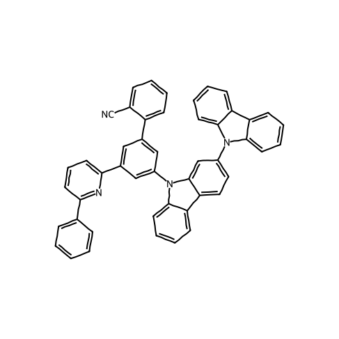 N#Cc1ccccc1-c1cc(-c2cccc(-c3ccccc3)n2)cc(-n2c3ccccc3c3ccc(-n4c5ccccc5c5ccccc54)cc32)c1